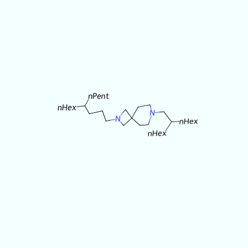 CCCCCCC(CCCCC)CCCN1CC2(CCN(CC(CCCCCC)CCCCCC)CC2)C1